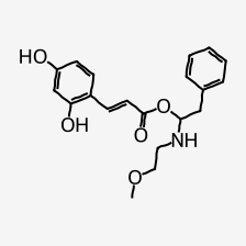 COCCNC(Cc1ccccc1)OC(=O)C=Cc1ccc(O)cc1O